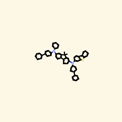 CC1(C)c2cc(N(c3ccccc3)c3ccc(-c4ccccc4)cc3)ccc2-c2ccc(N(c3ccc(-c4ccccc4)cc3)c3ccc4c(c3)sc3ccccc34)cc21